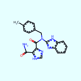 Cc1ccc(CN(C(=O)c2nc[nH]c2C(N)=O)c2nc3ccccc3[nH]2)cc1